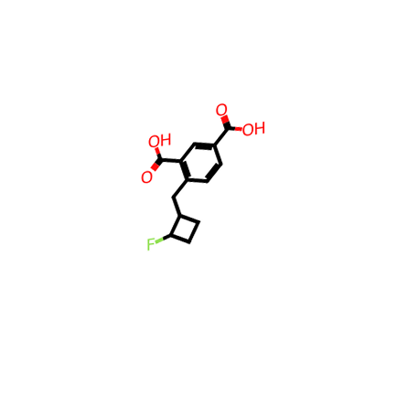 O=C(O)c1ccc(CC2CCC2F)c(C(=O)O)c1